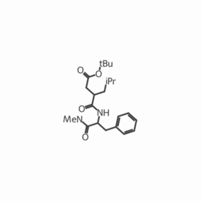 CNC(=O)C(Cc1ccccc1)NC(=O)C(CC(=O)OC(C)(C)C)CC(C)C